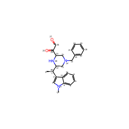 C[C@H](c1cn(C)c2ccccc12)C1CN(Cc2ccccc2)CC(C(=O)C=O)N1